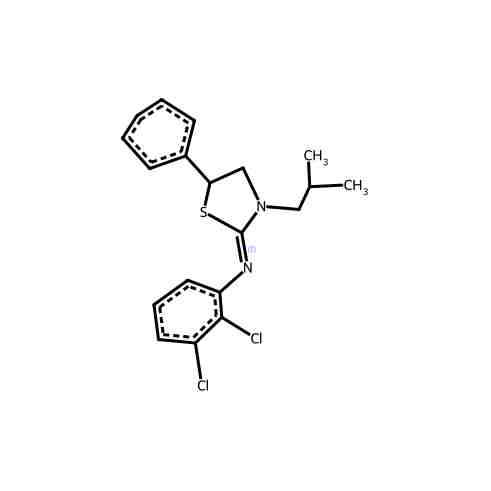 CC(C)CN1CC(c2ccccc2)S/C1=N\c1cccc(Cl)c1Cl